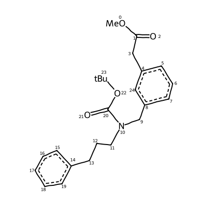 COC(=O)Cc1cccc(CN(CCCc2ccccc2)C(=O)OC(C)(C)C)c1